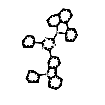 c1ccc(-c2nc(-c3ccc4c5ccccc5n(-c5ccccc5)c4c3)nc(N3c4ccccc4-c4cccc5cccc3c45)n2)cc1